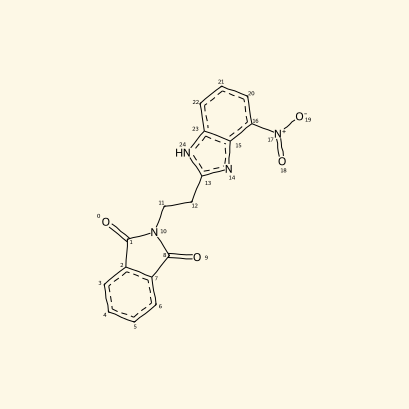 O=C1c2ccccc2C(=O)N1CCc1nc2c([N+](=O)[O-])cccc2[nH]1